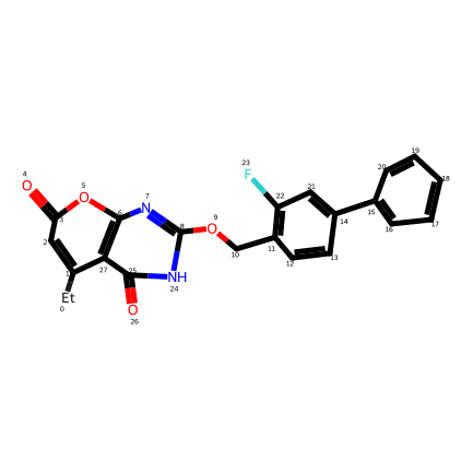 CCc1cc(=O)oc2nc(OCc3ccc(-c4ccccc4)cc3F)[nH]c(=O)c12